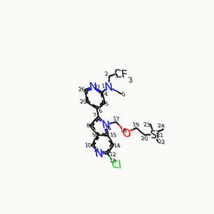 CN(CC(F)(F)F)c1cc(-c2cc3cnc(Cl)cc3n2COCC[Si](C)(C)C)ccn1